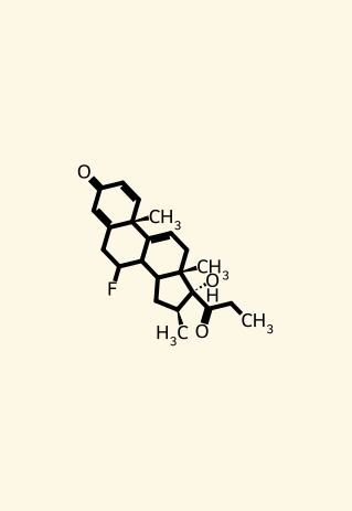 CCC(=O)[C@@]1(O)[C@@H](C)CC2C3C(=CC[C@@]21C)[C@@]1(C)C=CC(=O)C=C1CC3F